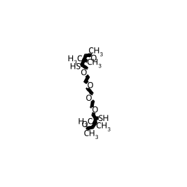 CC(=O)CC(C)(C)C(S)COCCOCCOCCOCC(S)C(C)(C)CC(C)=O